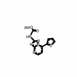 COC(=O)Nc1nc2nccc(-c3cccs3)n2n1